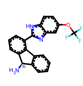 N[C@@H]1c2ccccc2-c2c(-c3nc4cc(OC(F)(F)F)ccc4[nH]3)cccc21